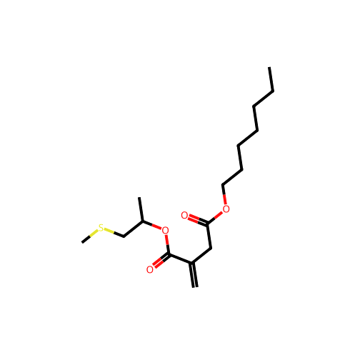 C=C(CC(=O)OCCCCCCC)C(=O)OC(C)CSC